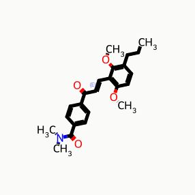 CCCc1ccc(OC)c(/C=C/C(=O)c2ccc(C(=O)N(C)C)cc2)c1OC